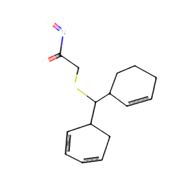 O=NC(=O)CSC(C1C=CC=CC1)C1C=CCCC1